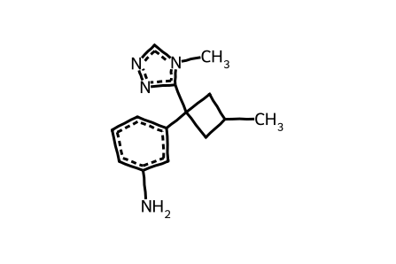 CC1CC(c2cccc(N)c2)(c2nncn2C)C1